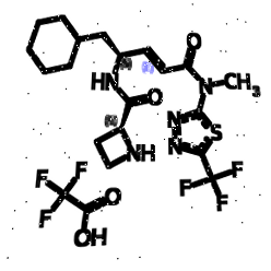 CN(C(=O)/C=C/[C@H](CC1CCCCC1)NC(=O)[C@@H]1CCN1)c1nnc(C(F)(F)F)s1.O=C(O)C(F)(F)F